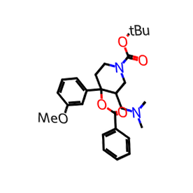 COc1cccc(C2(OC(=O)c3ccccc3)CCN(C(=O)OC(C)(C)C)CC2CN(C)C)c1